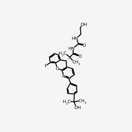 CC(C)(O)c1ccc(-c2ccc3c(n2)Oc2c(F)cccc2[C@@H]3C(C)(C)C(=O)NC(=O)NCCO)cc1